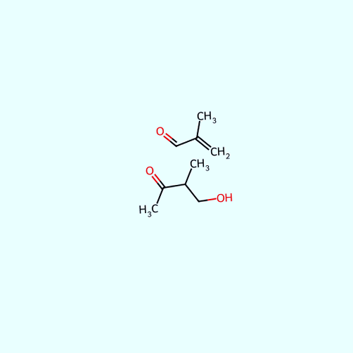 C=C(C)C=O.CC(=O)C(C)CO